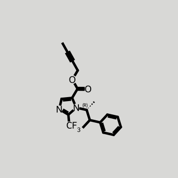 CC#CCOC(=O)c1cnc(C(F)(F)F)n1[C@H](C)C(C)c1ccccc1